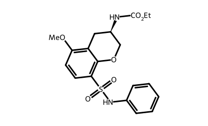 CCOC(=O)N[C@H]1COc2c(S(=O)(=O)Nc3ccccc3)ccc(OC)c2C1